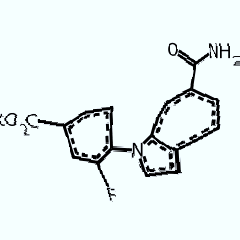 CCOC(=O)c1ccc(-n2ccc3ccc(C(N)=O)cc32)c(F)c1